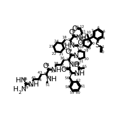 C=CSc1ccccc1C1(C[C@@H](C=O)NC(=O)[C@@H](CC2CCCCC2)NC(=O)[C@@H]2CCCN2C(=O)[C@H](CCCNC(=O)[C@H](CCCNC(=N)N)NC)NC(=O)[C@H](Cc2ccccc2)NC(C)=O)CCCC1